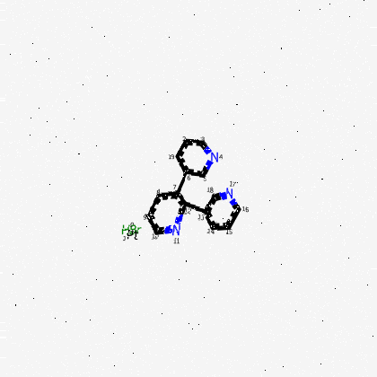 Br.[Pt].c1cncc(-c2cccnc2-c2cccnc2)c1